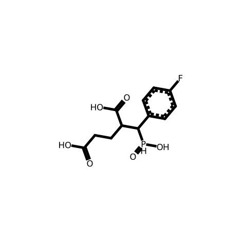 O=C(O)CCC(C(=O)O)C(c1ccc(F)cc1)[PH](=O)O